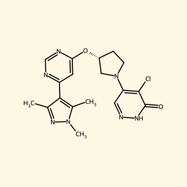 Cc1nn(C)c(C)c1-c1cc(O[C@@H]2CCN(c3cn[nH]c(=O)c3Cl)C2)ncn1